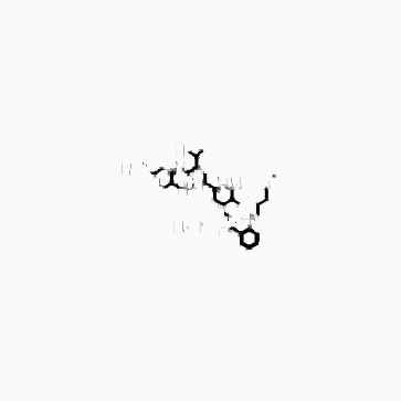 COCCCCOc1ccccc1C(=O)NC[C@@H](C[C@H](N)[C@@H](O)C[C@H](C(=O)N[C@H](CC(N)=O)C(C)C)C(C)C)C(C)C.Cl